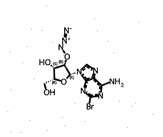 [N-]=[N+]=NO[C@@H]1[C@@H](O)[C@@H](CO)O[C@H]1n1cnc2c(N)nc(Br)nc21